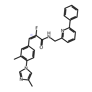 Cc1cn(-c2ccc(/C=C(/F)C(=O)NCc3cccc(-c4ccccc4)n3)cc2C)cn1